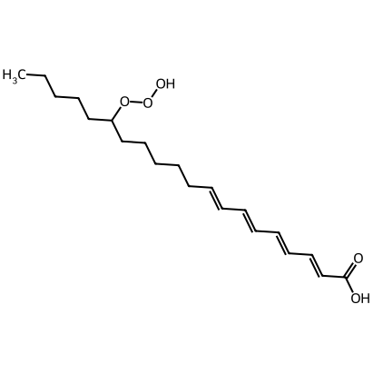 CCCCCC(CCCCCC=CC=CC=CC=CC(=O)O)OOO